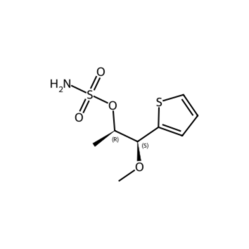 CO[C@H](c1cccs1)[C@@H](C)OS(N)(=O)=O